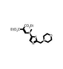 CCOC(=O)C(=CN(C)c1cnc(CN2CCOCC2)s1)C(=O)OCC